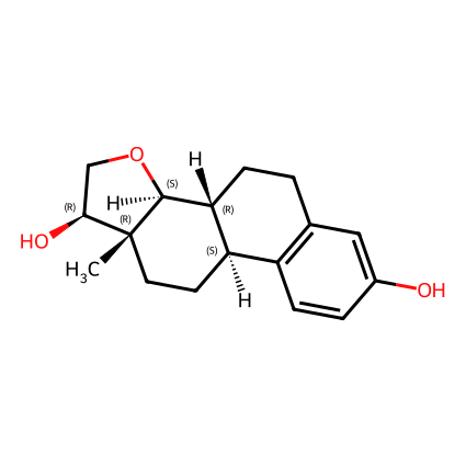 C[C@]12CC[C@@H]3c4ccc(O)cc4CC[C@H]3[C@@H]1OC[C@@H]2O